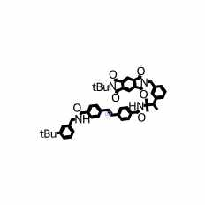 CC(c1cccc(Cn2c(=O)c3cc4c(=O)n(C(C)(C)C)c(=O)c4cc3c2=O)c1)C(C)(C)NC(=O)c1ccc(/C=C/c2ccc(C(=O)NCc3cccc(C(C)(C)C)c3)cc2)cc1